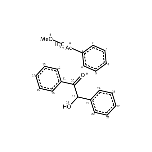 CC(=O)c1ccccc1.COC.O=C(c1ccccc1)C(O)c1ccccc1